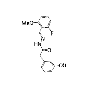 COc1cccc(F)c1/C=N/NC(=O)Cc1cccc(O)c1